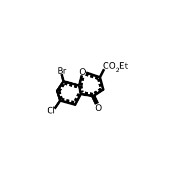 CCOC(=O)c1cc(=O)c2cc(Cl)cc(Br)c2o1